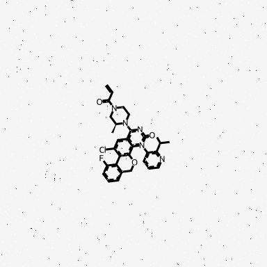 C=CC(=O)N1CCN(c2nc(=O)n(-c3cccnc3C(C)C)c3c4c(c(Cl)cc23)-c2c(F)cccc2CO4)[C@@H](C)C1